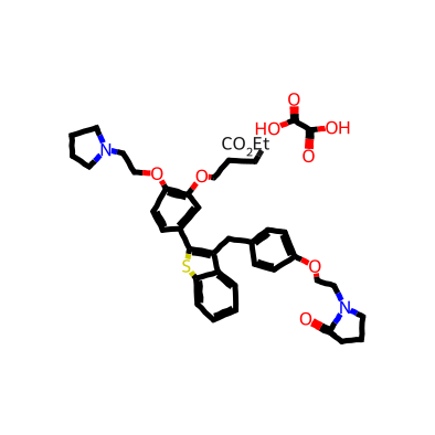 CCOC(=O)CCCOc1cc(-c2sc3ccccc3c2Cc2ccc(OCCN3CCCC3=O)cc2)ccc1OCCN1CCCC1.O=C(O)C(=O)O